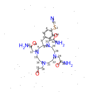 N#CSc1ccc(CC2CN(CC(N)=O)CCN(CC=O)CCN(CC(N)=O)CCN2CC(N)=O)cc1